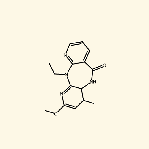 CCN1C2=NC(OC)=CC(C)C2NC(=O)c2cccnc21